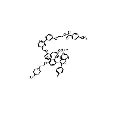 CCOC(=O)[C@@H](Cc1ccccc1OCc1ccnc(-c2cccc(OCCOS(=O)(=O)c3ccc(C)cc3)c2)n1)Oc1ncnc2sc(-c3ccc(F)cc3)c(-c3ccc(OCCN4CCN(C)CC4)c(Cl)c3C)c12